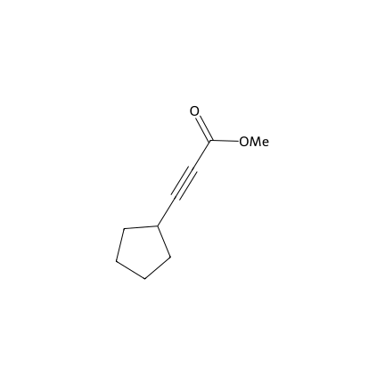 COC(=O)C#CC1CCCC1